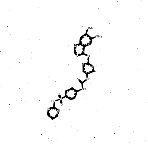 COc1cc2ncnc(Nc3ncc(NC(=S)Nc4ccc(S(=O)(=O)Nc5ncccn5)cc4)cn3)c2cc1OC